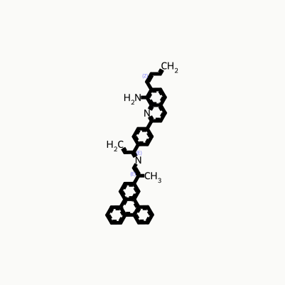 C=C/C=C\c1ccc2ccc(-c3ccc(/C(C=C)=N/C=C(\C)c4ccc5c6ccccc6c6ccccc6c5c4)cc3)nc2c1N